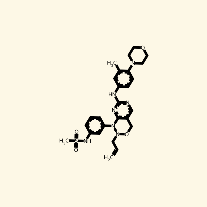 C=CCN1OCc2cnc(Nc3ccc(N4CCOCC4)c(C)c3)nc2N1c1cccc(NS(C)(=O)=O)c1